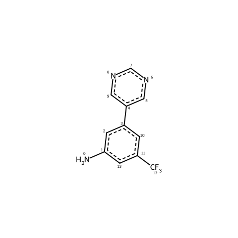 Nc1cc(-c2cncnc2)cc(C(F)(F)F)c1